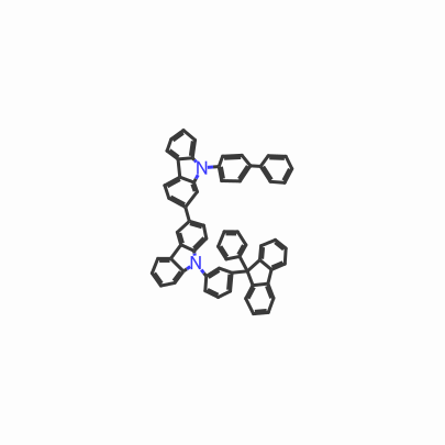 c1ccc(-c2ccc(-n3c4ccccc4c4ccc(-c5ccc6c(c5)c5ccccc5n6-c5cccc(C6(c7ccccc7)c7ccccc7-c7ccccc76)c5)cc43)cc2)cc1